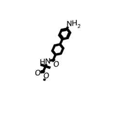 COC(=O)C(C)(C)NC(=O)C1CCC(c2ccc(N)cc2)CC1